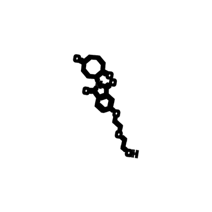 O=C1CCCC(=O)C(N2C(=O)c3ccc(OCCOCCO)cc3C2=O)CC1